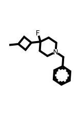 CC1CC(C2(F)CCN(Cc3ccccc3)CC2)C1